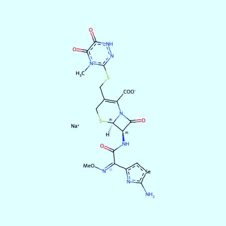 CO/N=C(\C(=O)N[C@@H]1C(=O)N2C(C(=O)[O-])=C(CSc3n[nH]c(=O)c(=O)n3C)CS[C@H]12)c1c[se]c(N)n1.[Na+]